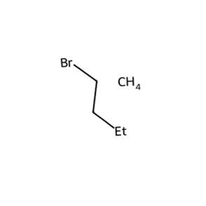 C.CCCCBr